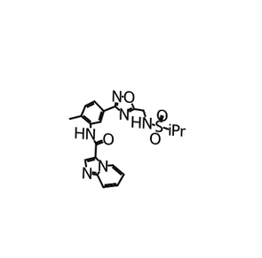 Cc1ccc(-c2noc(CNS(=O)(=O)C(C)C)n2)cc1NC(=O)c1cnc2ccccn12